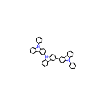 c1ccc(-n2c3ccccc3c3cc(-c4ccc5c(c4)c4ccccc4n5-c4ccc5c(c4)c4ccccc4n5-c4ccccc4)ccc32)cc1